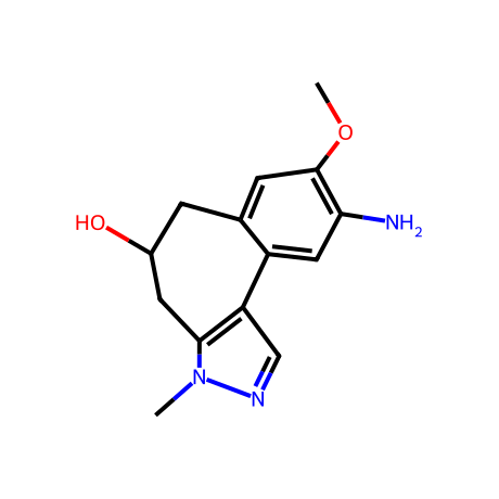 COc1cc2c(cc1N)-c1cnn(C)c1CC(O)C2